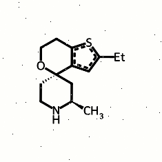 CCc1cc2c(s1)CCO[C@@]21CCN[C@H](C)C1